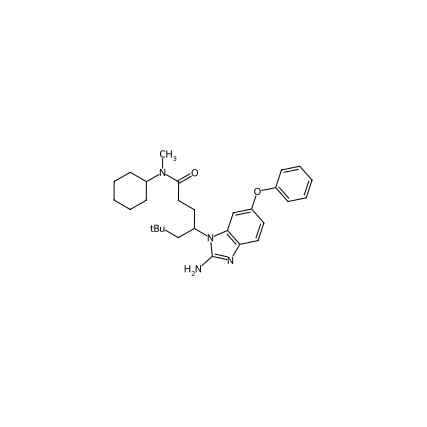 CN(C(=O)CCC(CC(C)(C)C)n1c(N)nc2ccc(Oc3ccccc3)cc21)C1CCCCC1